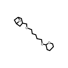 C(CCOCC1CC2CC(C1)O2)CCOC1CCCCO1